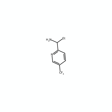 CCC(N)c1ccc(C(F)(F)F)cn1